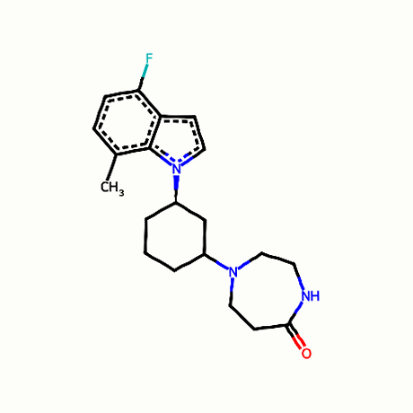 Cc1ccc(F)c2ccn([C@@H]3CCCC(N4CCNC(=O)CC4)C3)c12